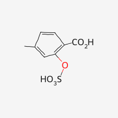 Cc1ccc(C(=O)O)c(OS(=O)(=O)O)c1